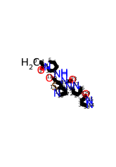 C=CC(=O)N1CCCC(NC(=O)c2sc3nccc4c3c2NC(=O)N4c2ccc(Oc3cccnn3)cn2)C1